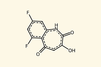 O=c1[nH]c2cc(F)cc(F)c2c(=O)cc1O